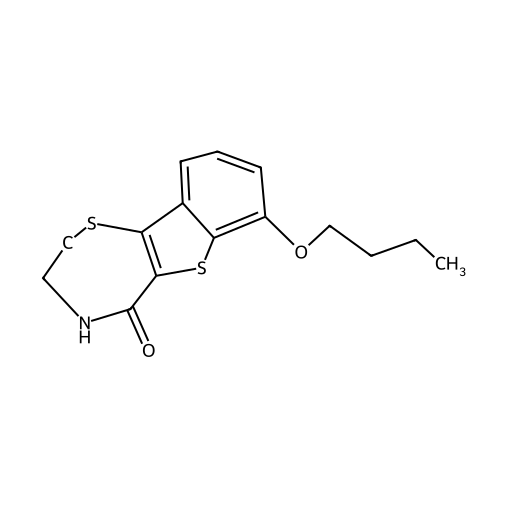 CCCCOc1cccc2c3c(sc12)C(=O)NCCS3